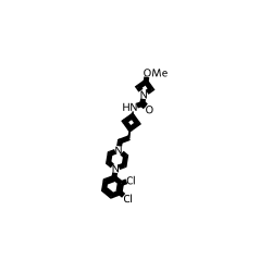 COC1CN(C(=O)N[C@H]2C[C@H](CCN3CCN(c4cccc(Cl)c4Cl)CC3)C2)C1